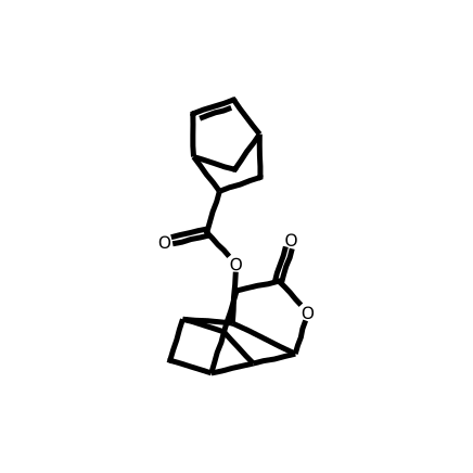 O=C1CC23C4CC2C3C(O1)C4OC(=O)C1CC2C=CC1C2